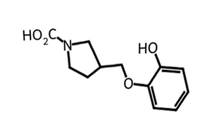 O=C(O)N1CCC(COc2ccccc2O)C1